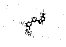 CC1CN(c2cc(-c3cnc4ccc(C(F)(F)F)nn34)ncn2)CC(CNS(C)(=O)=O)C1(F)F